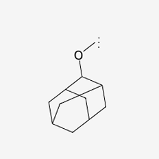 [C]OC1C2CC3CC(C2)CC1C3